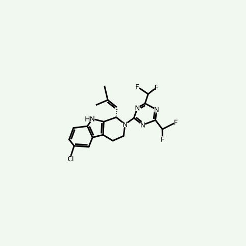 CC(C)=C[C@H]1c2[nH]c3ccc(Cl)cc3c2CCN1c1nc(C(F)F)nc(C(F)F)n1